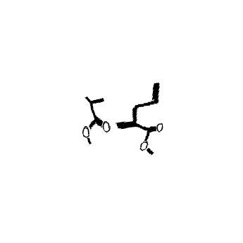 C=C(C)C(=O)OC.C=CCC(=C)C(=O)OC